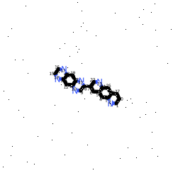 c1cnc2cc3cc(-c4cnc5cc6nccnc6cc5n4)cnc3cc2c1